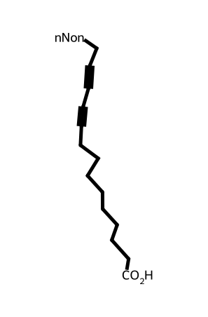 CCCCCCCCCCC#CC#CCCCCCCCCC(=O)O